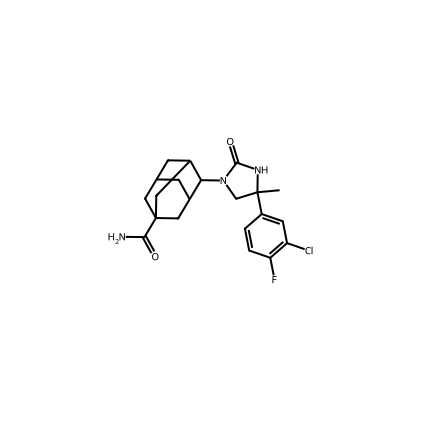 CC1(c2ccc(F)c(Cl)c2)CN(C2C3CC4CC2CC(C(N)=O)(C4)C3)C(=O)N1